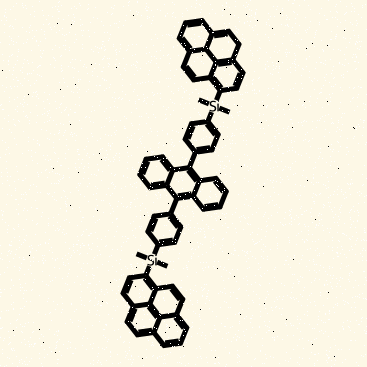 C[Si](C)(c1ccc(-c2c3ccccc3c(-c3ccc([Si](C)(C)c4ccc5ccc6cccc7ccc4c5c67)cc3)c3ccccc23)cc1)c1ccc2c3c1C=CC1=CC=CC(=CC2)C13